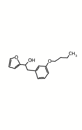 CCCCOc1cccc(CC(O)c2ccco2)c1